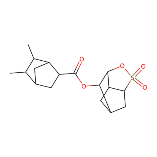 CC1C2CC(C(=O)OC3C4CC5C3OS(=O)(=O)C5C4)C(C2)C1C